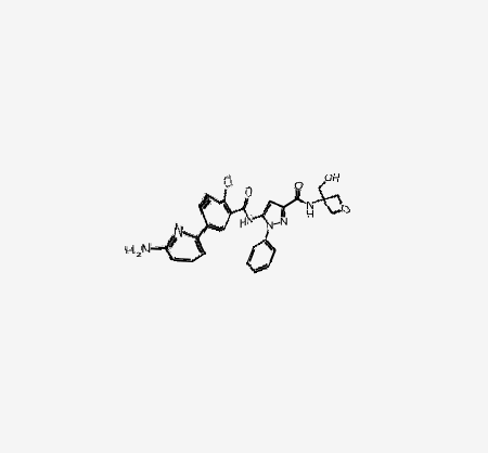 Nc1cccc(-c2ccc(Cl)c(C(=O)Nc3cc(C(=O)NC4(CO)COC4)nn3-c3ccccc3)c2)n1